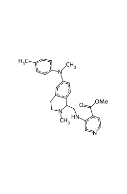 COC(=O)c1ccncc1NCC1c2ccc(N(C)c3ccc(C)cc3)cc2CCN1C